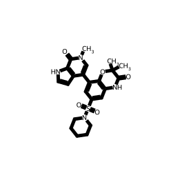 Cn1cc(-c2cc(S(=O)(=O)N3CCCCC3)cc3c2OC(C)(C)C(=O)N3)c2cc[nH]c2c1=O